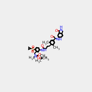 Cc1cc(C(C=O)Nc2ccc3c(c2)C(=O)NC3)cc(C)c1CCCC(=O)Nc1ccc(S(=O)(=O)C2CC2)c(CN(C)C(=O)OC(C)(C)C)c1